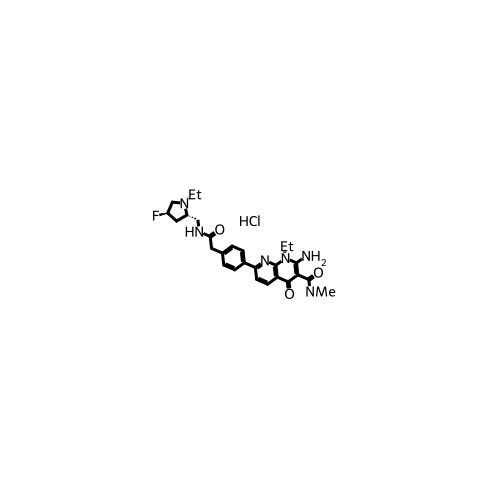 CCN1C[C@H](F)C[C@H]1CNC(=O)Cc1ccc(-c2ccc3c(=O)c(C(=O)NC)c(N)n(CC)c3n2)cc1.Cl